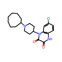 O=c1[nH]c2ccc(Cl)cc2n(C2CCN(C3CCCCCCC3)CC2)c1=O